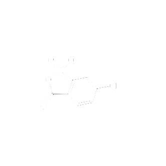 Cc1ccc2c(c1)S(=O)(=O)OC2=O